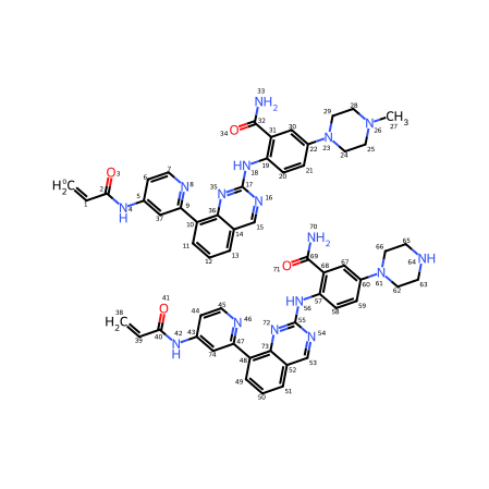 C=CC(=O)Nc1ccnc(-c2cccc3cnc(Nc4ccc(N5CCN(C)CC5)cc4C(N)=O)nc23)c1.C=CC(=O)Nc1ccnc(-c2cccc3cnc(Nc4ccc(N5CCNCC5)cc4C(N)=O)nc23)c1